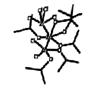 CC(C)[O][Zr]([Cl])([Cl])([O]C(C)C)[Zr]([O]C(C)C)([O]C(C)C)([O]C(C)C)([O]C(C)C)[Zr]([Cl])([Cl])([Cl])[Cl]